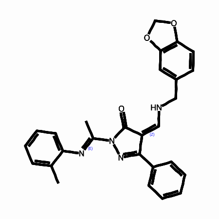 C/C(=N\c1ccccc1C)N1N=C(c2ccccc2)/C(=C/NCc2ccc3c(c2)OCO3)C1=O